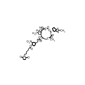 C=CC[C@H]1C(=O)C(C)(C)[C@@H](O)CC(=O)O[C@H](c2ccc3sc(C)nc3c2)C[C@@H]2O[C@]2(C)CCC[C@H](C)[C@@H]1OC(=O)OCc1ccc(OC(=O)CCCCCN2C(=O)C=CC2=O)c([N+](=O)[O-])c1